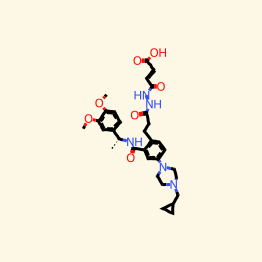 COc1ccc([C@@H](C)NC(=O)c2cc(N3CCN(CC4CC4)CC3)ccc2CCC(=O)NNC(=O)/C=C/C(=O)O)cc1OC